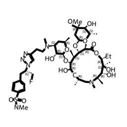 CC[C@H]1OC(=O)[C@H](C)[C@@H](O[C@H]2C[C@@](C)(OC)[C@@H](O)[C@H](C)O2)[C@H](C)[C@@H](O[C@@H]2O[C@H](C)C[C@H](N(C)CCc3cn([C@H](CF)Cc4ccc(S(=O)(=O)NC)cc4)nn3)[C@H]2O)[C@H](O)C[C@@H](C)CN(C)[C@H](C)[C@@H](O)[C@]1(C)O